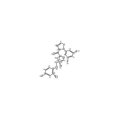 O=C(N1N=CCC1c1cc(F)cc(F)c1)C12CC(C1)[C@H](COc1ccc(F)cc1Cl)C2